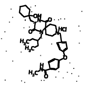 CCC(CC)CN1C(=O)[C@@H](CC2(O)CCCCC2)NC(=O)C12CCN(Cc1ccc(Oc3ccc(C(=O)NC)cc3)cc1)CC2.Cl